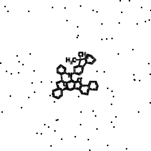 CC1(C)c2ccccc2-c2ccc(N(c3ccccc3-c3ccc4ccccc4c3)c3cccc4c3oc3c5ccccc5ccc43)cc21